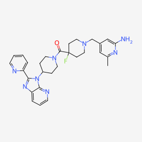 Cc1cc(CN2CCC(F)(C(=O)N3CCC(n4c(-c5ccccn5)nc5cccnc54)CC3)CC2)cc(N)n1